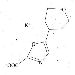 O=C([O-])c1ncc(C2CCOCC2)o1.[K+]